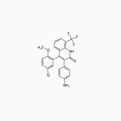 COc1ccc(Cl)cc1-c1c(-c2ccc(N)cc2)c(=O)[nH]c2c(C(F)(F)F)cccc12